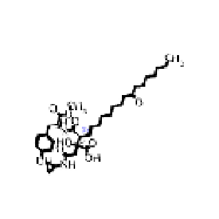 CCCCCCCC(=O)CCCCCC/C=C/[C@H](C(=O)N[C@@H](Cc1ccc(O)cc1)C(=O)OC)[C@@](O)(CC(=O)NC1CC1)C(=O)O